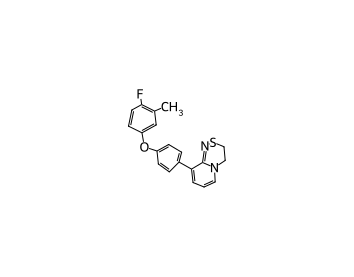 Cc1cc(Oc2ccc(C3=CC=CN4CCSN=C34)cc2)ccc1F